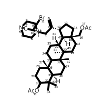 C=C(C[N+]12CCN(CC1)CC2Br)[C@@H]1CC[C@]2(COC(C)=O)CC[C@]3(C)[C@H](CCC4[C@@]5(C)CCC(OC(C)=O)C(C)(C)[C@@H]5CC[C@]43C)[C@@H]12